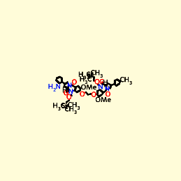 COc1cc2c(cc1OCCCOc1cc3c(cc1OC)C(=O)N1C=C(c4ccccc4N)C[C@H]1C(=O)N3COCC[Si](C)(C)C)N(COCC[Si](C)(C)C)C(=O)[C@@H]1CC(c3ccc(C)cc3)=CN1C2=O